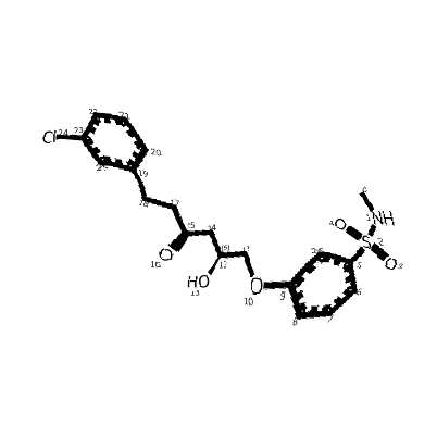 CNS(=O)(=O)c1cccc(OC[C@@H](O)CC(=O)CCc2cccc(Cl)c2)c1